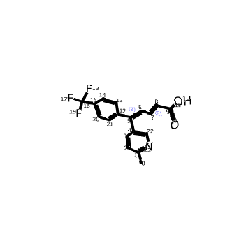 Cc1ccc(/C(=C\C=C\C(=O)O)c2ccc(C(F)(F)F)cc2)cn1